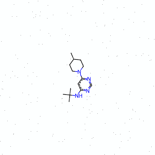 CC1CCN(c2cc(NC(C)(C)C)ncn2)CC1